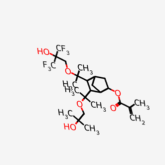 C=C(C)C(=O)OC1CC2CC1C(C(C)(C)OCC(C)(C)O)C2C(C)(C)OCC(O)(C(F)(F)F)C(F)(F)F